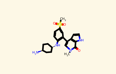 Cn1cc(-c2cc(S(C)(=O)=O)ccc2N[C@H]2CC[C@H](N)CC2)c2cc[nH]c2c1=O